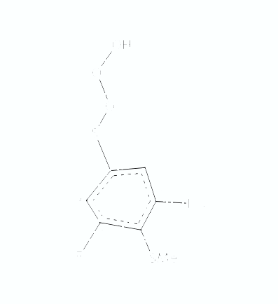 CSc1c(F)cc(SOOO)cc1F